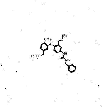 CCOC(=O)Cc1ccc(OC)c(Oc2ccc(NC(=O)NCc3ccccc3)cc2CSC(C)(C)C)c1